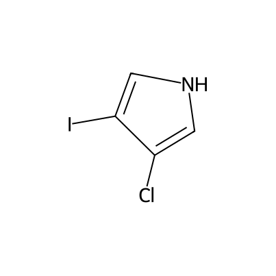 Clc1c[nH]cc1I